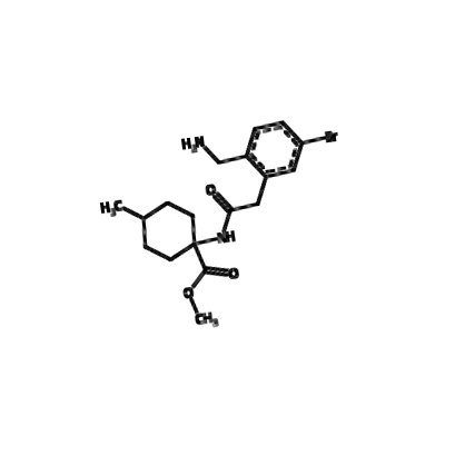 COC(=O)C1(NC(=O)Cc2cc(Br)ccc2CN)CCC(C)CC1